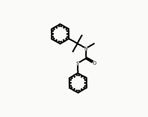 CN(C(=O)Sc1ccccc1)C(C)(C)c1ccccc1